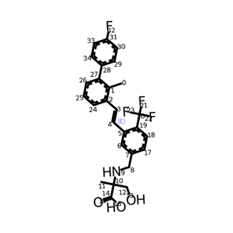 Cc1c(/C=C/c2cc(CNC(C)(CO)C(=O)O)ccc2C(F)(F)F)cccc1-c1ccc(F)cc1